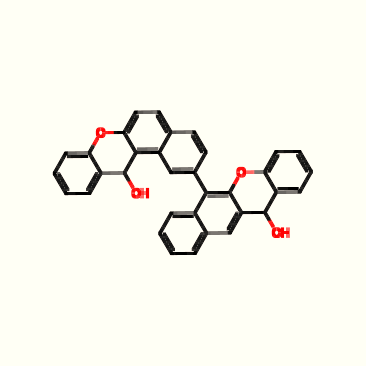 OC1c2ccccc2Oc2c1cc1ccccc1c2-c1ccc2ccc3c(c2c1)C(O)c1ccccc1O3